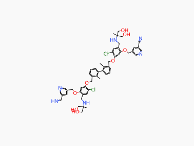 Cc1c(COc2cc(OCc3cncc(C#N)c3)c(CNC(C)(CO)CO)cc2Cl)cccc1-c1cccc(COc2cc(OCc3cncc(C=N)c3)c(CNC(C)(CO)CO)cc2Cl)c1C